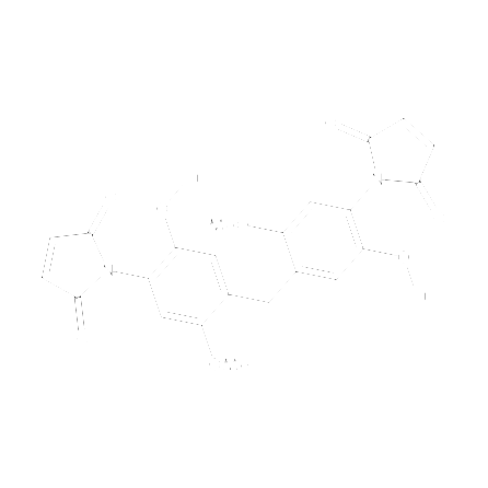 CCOc1cc(Cc2cc(OCC)c(N3C(=O)C=CC3=O)cc2OC)c(OC)cc1N1C(=O)C=CC1=O